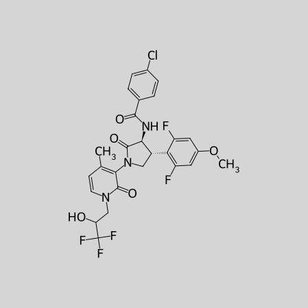 COc1cc(F)c([C@@H]2CN(c3c(C)ccn(CC(O)C(F)(F)F)c3=O)C(=O)[C@H]2NC(=O)c2ccc(Cl)cc2)c(F)c1